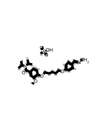 COc1cc(C(=O)N(C(C)C)C(C)C)ccc1OCCCCCOc1ccc(C=NN)cc1.CS(=O)(=O)O